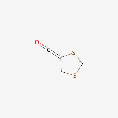 O=C=C1CSCS1